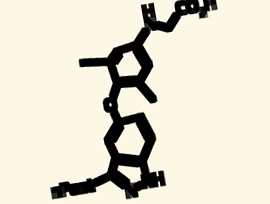 CCCCCc1n[nH]c2ccc(Oc3c(C)cc(NCC(=O)O)cc3C)cc12